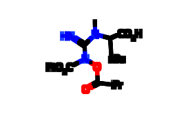 CCCCC(C(=O)O)N(C)C(=N)N(OC(=O)C(C)C)C(=O)OCC